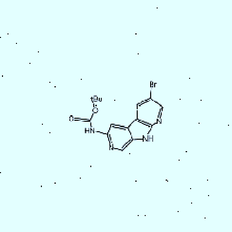 CC(C)(C)OC(=O)Nc1cc2c(cn1)[nH]c1ncc(Br)cc12